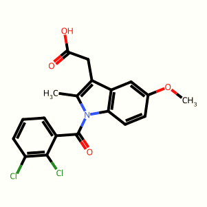 COc1ccc2c(c1)c(CC(=O)O)c(C)n2C(=O)c1cccc(Cl)c1Cl